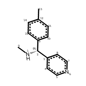 CN[C@@H](c1ccncc1)c1ccc(C)cc1